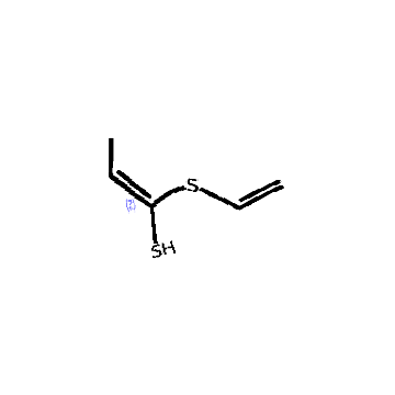 C=CS/C(S)=C\C